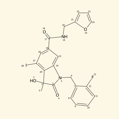 CC1(O)C(=O)N(Cc2ccccc2F)c2cc(C(=O)NCc3ccco3)cc(I)c21